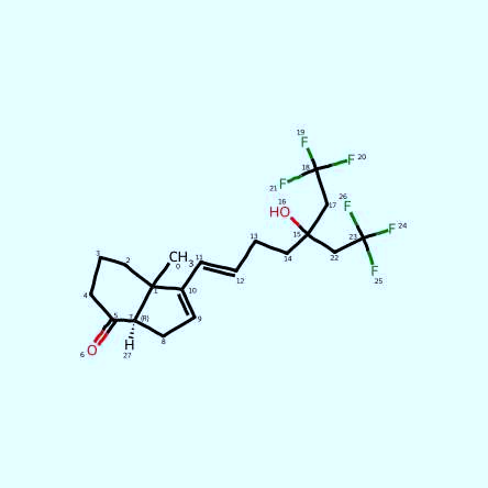 CC12CCCC(=O)[C@@H]1CC=C2C=CCCC(O)(CC(F)(F)F)CC(F)(F)F